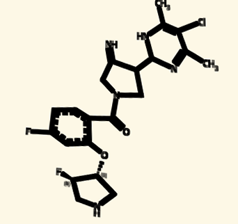 CC1=NC(C2CN(C(=O)c3ccc(F)cc3O[C@@H]3CNC[C@H]3F)CC2=N)NC(C)=C1Cl